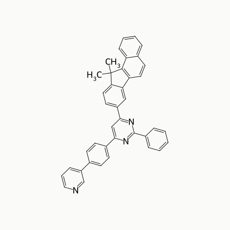 CC1(C)c2ccc(-c3cc(-c4ccc(-c5cccnc5)cc4)nc(-c4ccccc4)n3)cc2-c2ccc3ccccc3c21